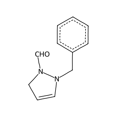 O=CN1CC=CN1Cc1ccccc1